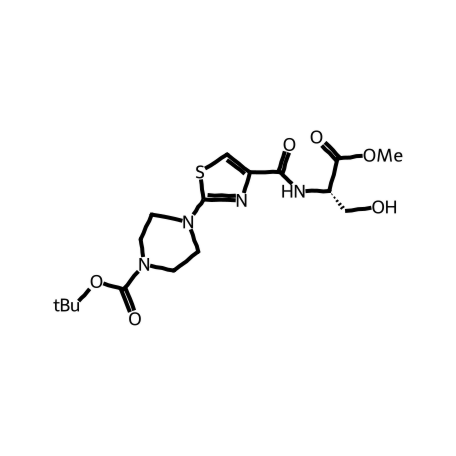 COC(=O)[C@H](CO)NC(=O)c1csc(N2CCN(C(=O)OC(C)(C)C)CC2)n1